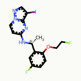 C[C@@H](Nc1ccn2ncc(I)c2n1)c1cc(F)ccc1OCCF